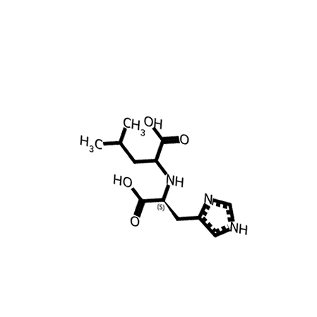 CC(C)CC(N[C@@H](Cc1c[nH]cn1)C(=O)O)C(=O)O